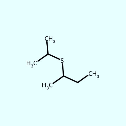 CCC(C)S[C](C)C